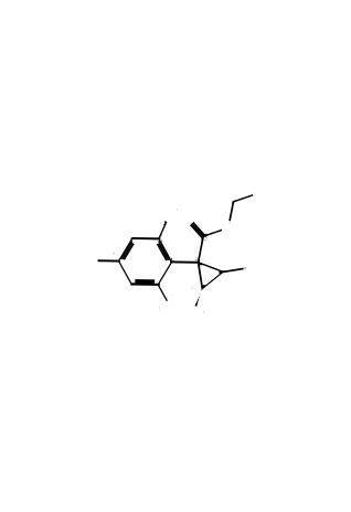 CCOC(=O)C1(c2c(C)cc(C)cc2C)C(C)[C@H]1C